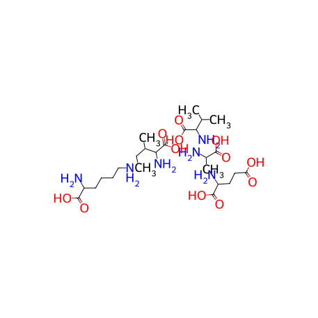 CC(C)C(N)C(=O)O.CC(N)C(=O)O.CCC(C)C(N)C(=O)O.NC(CCC(=O)O)C(=O)O.NCCCCC(N)C(=O)O